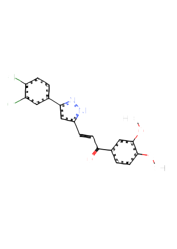 COc1ccc(C(=O)/C=C/c2cc(-c3ccc(Cl)c(Cl)c3)n[nH]2)cc1OC